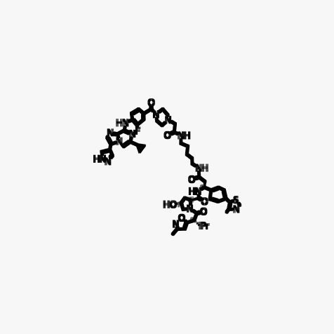 Cc1cc([C@H](C(=O)N2C[C@H](O)C[C@H]2C(=O)N[C@@H](CC(=O)NCCCCCNC(=O)CN2CCN(C(=O)c3ccc(Nc4nc(C5CC5)cn5c(-c6cn[nH]c6)cnc45)c(F)c3)CC2)c2ccc(-c3scnc3C)cc2)C(C)C)on1